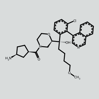 COCCCC[C@](O)(c1cccc(Cl)c1-c1cncc2ccccc12)[C@H]1CN(C(=O)[C@@H]2CC[C@H](N)C2)CCO1